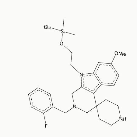 COc1ccc2c3c(n(CCO[Si](C)(C)C(C)(C)C)c2c1)CN(Cc1ccccc1F)CC31CCNCC1